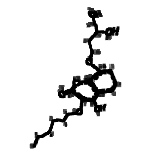 CCCCCCOc1c(O)c2cccc(OCCC(O)CO)c2oc1=O